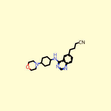 N#CCCCc1ccc2ncnc(NC3CCC(N4CCOCC4)CC3)c2c1